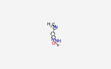 Cn1cc(-c2ccc3cnc(NC(=O)C4CC4)cc3c2)cn1